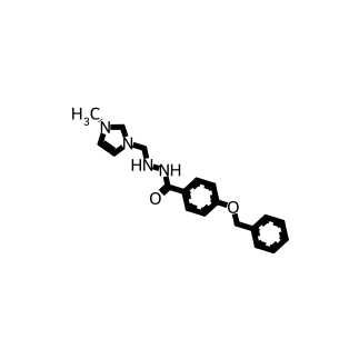 CN1C=CN(CNNC(=O)c2ccc(OCc3ccccc3)cc2)C1